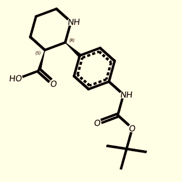 CC(C)(C)OC(=O)Nc1ccc([C@@H]2NCCC[C@@H]2C(=O)O)cc1